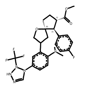 COC(=O)[C@H]1CC[C@@]2(CC(c3cc(N4C=NNN4C(F)(F)F)ccc3N(C)C)CO2)[C@@H]1c1ccc(F)cc1